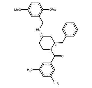 COc1ccc(OC)c(CN[C@H]2CCN(C(=O)c3cc(C)cc(C)c3)[C@H](Cc3ccccc3)C2)c1